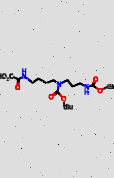 CC(C)(C)OC(=O)NCCCN(CCCCNC(=O)C(=O)O)C(=O)OC(C)(C)C